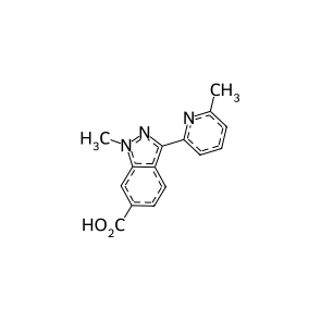 Cc1cccc(-c2nn(C)c3cc(C(=O)O)ccc23)n1